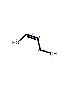 O/C=C\CO